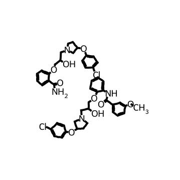 COc1cccc(C(=O)Nc2ccccc2OCC(O)CN2CCC(Oc3ccc(Cl)cc3)C2)c1.NC(=O)c1ccccc1OCC(O)CN1CCC(Oc2ccc(Cl)cc2)C1